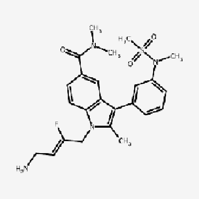 Cc1c(-c2cccc(N(C)S(C)(=O)=O)c2)c2cc(C(=O)N(C)C)ccc2n1C/C(F)=C/CN